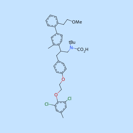 COCCc1ccccc1-c1ccc(C(Cc2ccc(OCCOc3c(Cl)cc(C)cc3Cl)cc2)CN(C(=O)O)C(C)(C)C)c(C)c1